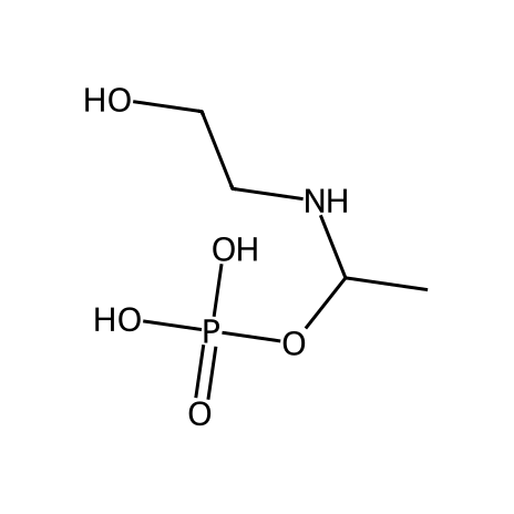 CC(NCCO)OP(=O)(O)O